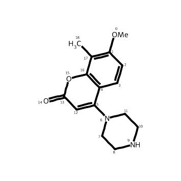 COc1ccc2c(N3CCNCC3)cc(=O)oc2c1C